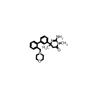 CN1C(=O)CC(C)(c2cccc(-c3ccccc3CN3CCOCC3)c2)N=C1N